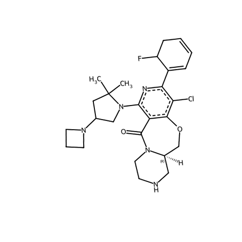 CC1(C)CC(N2CCC2)CN1c1nc(C2=CC=CCC2F)c(Cl)c2c1C(=O)N1CCNC[C@@H]1CO2